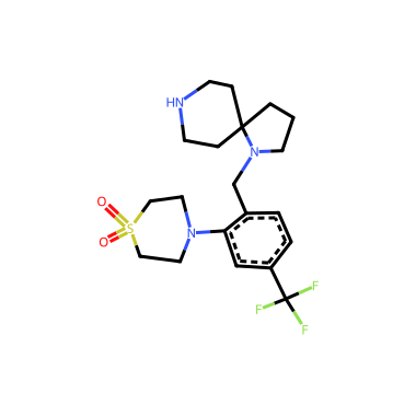 O=S1(=O)CCN(c2cc(C(F)(F)F)ccc2CN2CCCC23CCNCC3)CC1